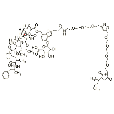 CCCC(C)C1CC(=O)N(CCOCCOCCOCCOCc2cn(CCOCCOCCOCCNC(=O)CCc3cc4c(O[C@@H]5O[C@H](C(=O)O)[C@@H](O)[C@H](O)[C@H]5O)ccc(COC(=O)N(C)[C@H](C(=O)N[C@H](C(=O)N(C)[C@@H]([C@@H](C)CC)[C@@H](CC(=O)N5CCC[C@H]5[C@H](OC)[C@@H](C)C(=O)N[C@H](C)[C@@H](O)c5ccccc5)OC)C(C)C)C(C)C)c4o3)nn2)C1=O